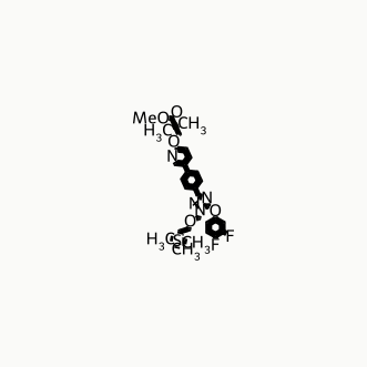 COC(=O)C(C)(C)COc1ccc(-c2ccc(-c3nc(Oc4ccc(F)c(F)c4)n(COCC[Si](C)(C)C)n3)cc2)cn1